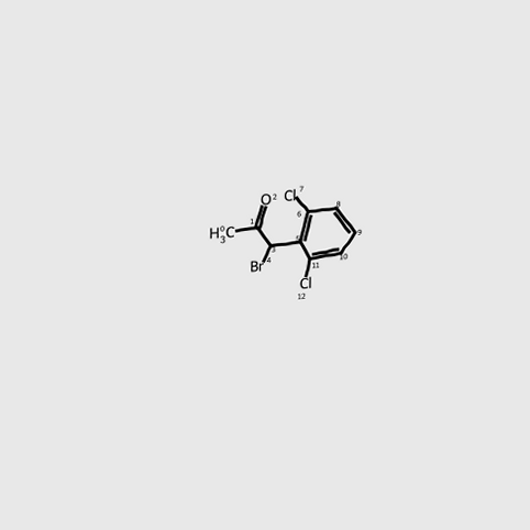 CC(=O)C(Br)c1c(Cl)cccc1Cl